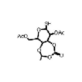 CC(=O)OCC1OC(S)C(OC(C)=O)C2OC(=O)OC(C)OC12